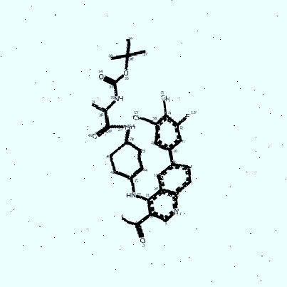 CC(=O)c1cnc2ccc(-c3cc(F)c(O)c(Cl)c3)cc2c1NC1CCC(NC(=O)C(C)NC(=O)OC(C)(C)C)CC1